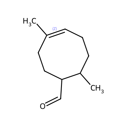 C/C1=C/CCC(C)C(C=O)CC1